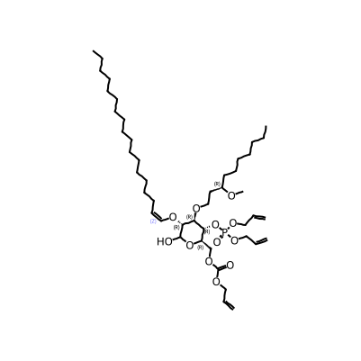 C=CCOC(=O)OC[C@H]1OC(O)[C@H](O/C=C\CCCCCCCCCCCCCCCC)[C@@H](OCC[C@@H](CCCCCCC)OC)[C@@H]1OP(=O)(OCC=C)OCC=C